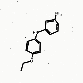 CCOc1ccc(Nc2cccc(N)c2)cc1